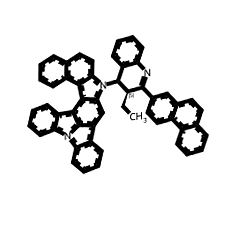 CC[C@@H]1C(c2ccc3c(ccc4ccccc43)c2)=Nc2ccccc2C1n1c2ccc3ccccc3c2c2c3c4ccccc4n4c5ccccc5c(cc21)c34